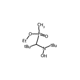 CCOP(C)(=O)C(N(O)C(C)(C)C)C(C)(C)C